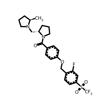 C[C@@H]1CCCN1C[C@@H]1CCCN1C(=O)c1ccc(OCc2ccc(S(=O)(=O)C(F)(F)F)cc2F)cc1